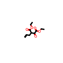 C=CCC(C(=O)OCC)C(=O)C(=O)OCC